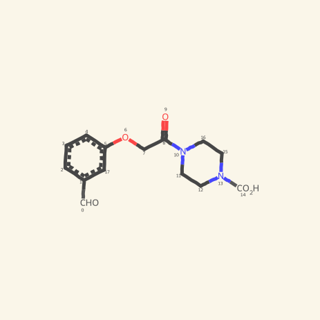 O=Cc1cccc(OCC(=O)N2CCN(C(=O)O)CC2)c1